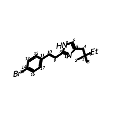 CCC(C)(C)Cc1c[nH]c([CH]Cc2ccc(Br)cc2)n1